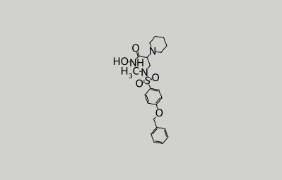 CN(CC(C(=O)NO)N1CCCCC1)S(=O)(=O)c1ccc(OCc2ccccc2)cc1